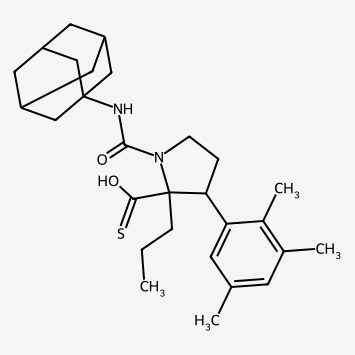 CCCC1(C(O)=S)C(c2cc(C)cc(C)c2C)CCN1C(=O)NC12CC3CC(CC(C3)C1)C2